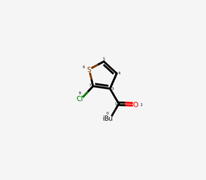 CCC(C)C(=O)c1ccsc1Cl